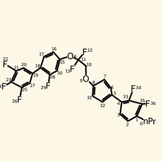 CCCc1ccc(-c2ccc(OCC(F)(F)Oc3ccc(-c4cc(F)c(F)c(F)c4)c(F)c3)cc2)c(F)c1F